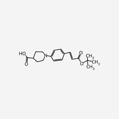 CC(C)(C)OC(=O)C=Cc1ccc(N2CCC(C(=O)O)CC2)cc1